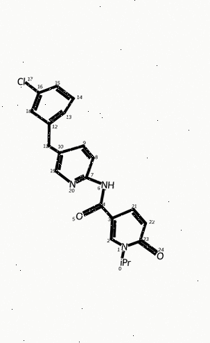 CC(C)n1cc(C(=O)Nc2ccc(Cc3cccc(Cl)c3)cn2)ccc1=O